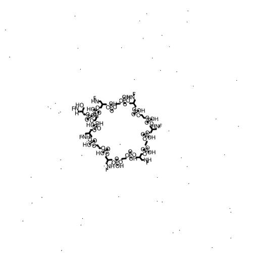 O=P(O)(O)OCC(CNF)COP(=O)(O)OCCOP(=O)(O)OCC(CNF)COP(=O)(O)OCCOP(=O)(O)OCC(CNF)COP(=O)(O)OCCOP(=O)(O)OCC(CNF)COP(=O)(O)OCCOP(=O)(O)OCC(CNF)COP(=O)(O)OCCOP(=O)(O)OCC(CNF)COP(=O)(O)OCCOP(=O)(O)OCC(CO)CNF